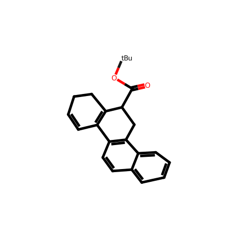 CC(C)(C)OC(=O)C1Cc2c(ccc3ccccc23)C2=C1CCC=C2